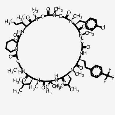 CC[C@H](C)[C@@H]1NC(=O)[C@@H]2CCCCN2C(=O)C[C@@H](C)NC(=O)[C@H](CC(C)C)N(C)C(=O)C(C)(C)NC(=O)[C@H](CC(C)C)N(C)C(=O)[C@H](CCc2ccc(C(F)(F)F)cc2)NC(=O)CN(C)C(=O)[C@H](Cc2ccc(Cl)cc2)N(C)C(=O)CN(C)C(=O)CN(C)C1=O